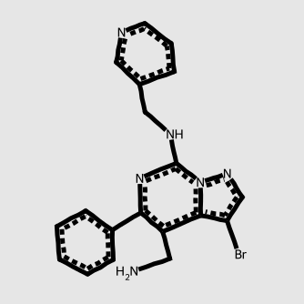 NCc1c(-c2ccccc2)nc(NCc2cccnc2)n2ncc(Br)c12